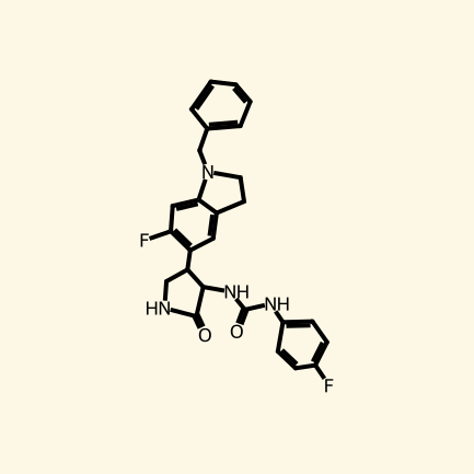 O=C(Nc1ccc(F)cc1)NC1C(=O)NCC1c1cc2c(cc1F)N(Cc1ccccc1)CC2